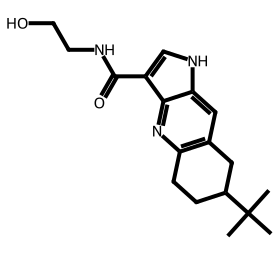 CC(C)(C)C1CCc2nc3c(C(=O)NCCO)c[nH]c3cc2C1